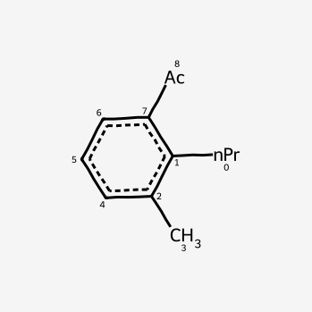 CCCc1c(C)cccc1C(C)=O